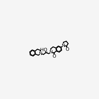 O=C1c2ccc(N3CCCC3=O)cc2CCN1C[C@H](O)CN1CCc2ccccc2C1